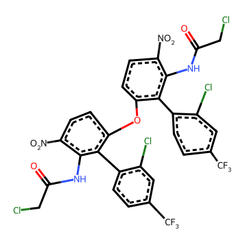 O=C(CCl)Nc1c([N+](=O)[O-])ccc(Oc2ccc([N+](=O)[O-])c(NC(=O)CCl)c2-c2ccc(C(F)(F)F)cc2Cl)c1-c1ccc(C(F)(F)F)cc1Cl